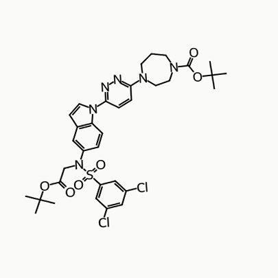 CC(C)(C)OC(=O)CN(c1ccc2c(ccn2-c2ccc(N3CCCN(C(=O)OC(C)(C)C)CC3)nn2)c1)S(=O)(=O)c1cc(Cl)cc(Cl)c1